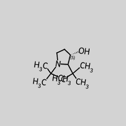 CC(C)(C)C1[C@@H](O)CCN1C(C)(C)C